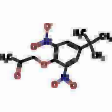 CC(=O)COc1c([N+](=O)[O-])cc(C(C)(C)C)cc1[N+](=O)[O-]